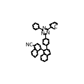 N#Cc1ccc(-c2c(-c3ccc(-c4nc(-c5ccccc5)nc(-c5ccccc5)n4)cc3)ccc3ccccc23)c2ccccc12